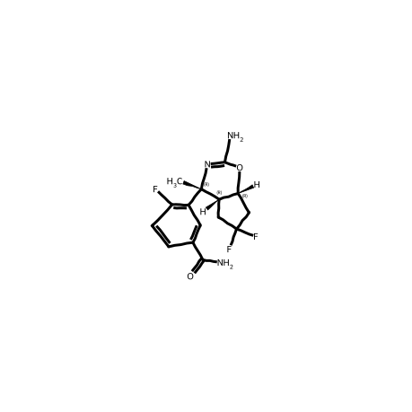 C[C@@]1(c2cc(C(N)=O)ccc2F)N=C(N)O[C@@H]2CC(F)(F)C[C@@H]21